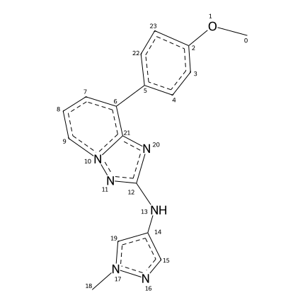 COc1ccc(-c2cccn3nc(Nc4cnn(C)c4)nc23)cc1